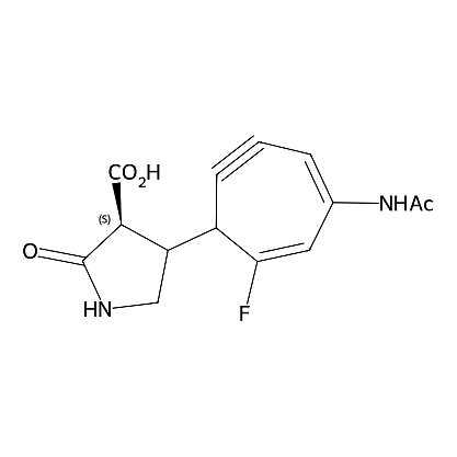 CC(=O)NC1=CC#CC(C2CNC(=O)[C@H]2C(=O)O)C(F)=C1